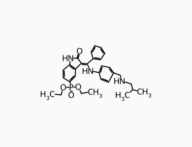 CCOP(=O)(OCC)c1ccc2c(c1)C(=C(Nc1ccc(CNCC(C)C)cc1)c1ccccc1)C(=O)N2